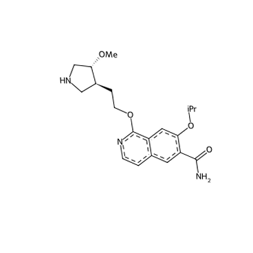 CO[C@H]1CNC[C@@H]1CCOc1nccc2cc(C(N)=O)c(OC(C)C)cc12